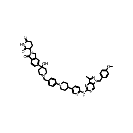 COc1ccc(Cn2nc(C)c3nc(Nc4ccc(C5CCN(c6ccc(CN7CCC(O)(c8ccc9c(c8)CN(C8CCC(=O)NC8=O)C9=O)CC7)cc6)CC5)cn4)ncc32)cc1